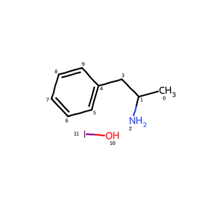 CC(N)Cc1ccccc1.OI